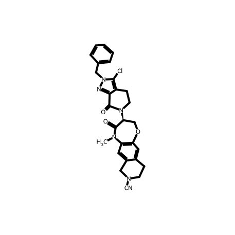 CN1C(=O)[C@@H](N2CCc3c(nn(Cc4ccccc4)c3Cl)C2=O)COc2cc3c(cc21)CN(C#N)CC3